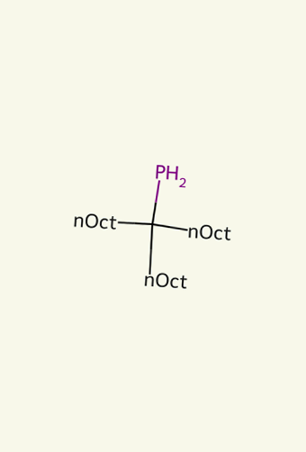 CCCCCCCCC(P)(CCCCCCCC)CCCCCCCC